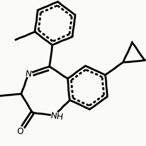 Cc1ccccc1C1=NC(C)C(=O)Nc2ccc(C3CC3)cc21